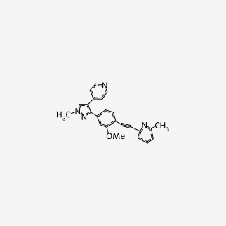 COc1cc(-c2nn(C)cc2-c2ccncc2)ccc1C#Cc1cccc(C)n1